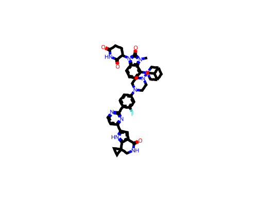 Cn1c(=O)n(C2CCC(=O)NC2=O)c2cccc(N3CC4CC(C3)C4CN3CCN(c4ccc(-c5nccc(-c6cc7c([nH]6)C6(CC6)CNC7=O)n5)c(F)c4)CC3)c21